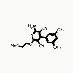 COCCSc1nc(N)c(C#N)c(-c2cc(O)cc(O)c2)c1C#N